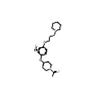 CC(=O)N1CCC(Oc2ccc(OCCCN3CCCCC3)cc2)CC1.OCl